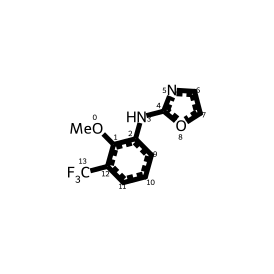 COc1c(Nc2ncco2)cccc1C(F)(F)F